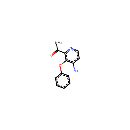 CNC(=O)c1nccc(N)c1Oc1ccccc1